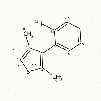 Cc1csc(C)c1-c1ccccc1I